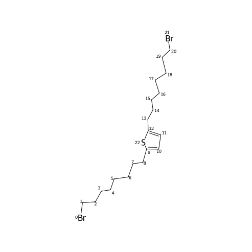 BrCCCCCCCCc1ccc(CCCCCCCCBr)s1